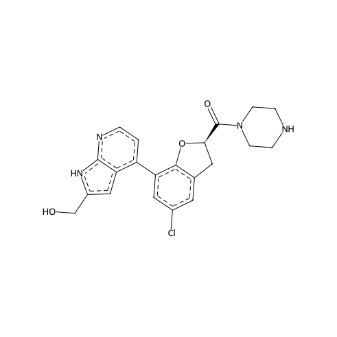 O=C([C@H]1Cc2cc(Cl)cc(-c3ccnc4[nH]c(CO)cc34)c2O1)N1CCNCC1